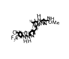 COC(=N)c1cc(Nc2cc(C)nc(Cc3ccc(NC(=O)Nc4ccc(Cl)c(C(F)(F)F)c4)nc3)n2)[nH]n1